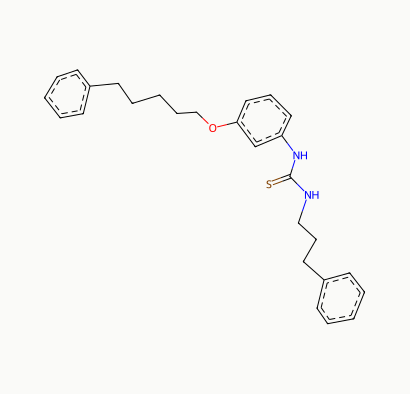 S=C(NCCCc1ccccc1)Nc1cccc(OCCCCCc2ccccc2)c1